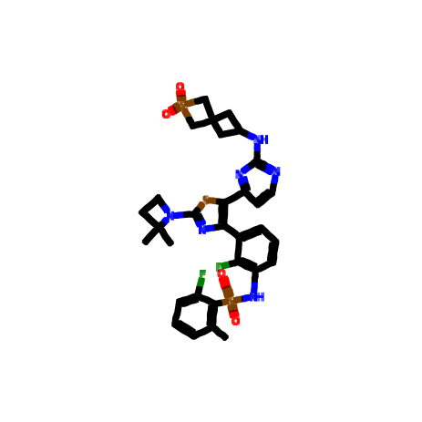 Cc1cccc(F)c1S(=O)(=O)Nc1cccc(-c2nc(N3CCC3(C)C)sc2-c2ccnc(NC3CC4(C3)CS(=O)(=O)C4)n2)c1F